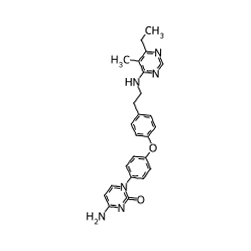 CCc1ncnc(NCCc2ccc(Oc3ccc(-n4ccc(N)nc4=O)cc3)cc2)c1C